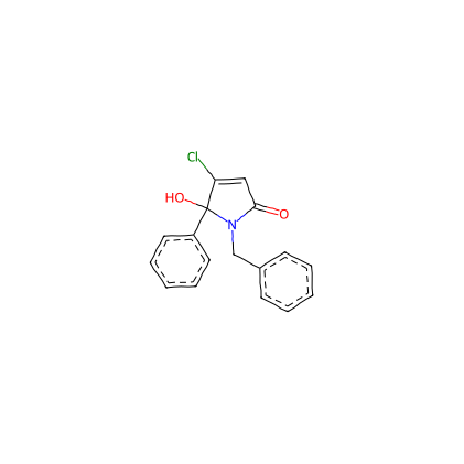 O=C1C=C(Cl)C(O)(c2ccccc2)N1Cc1ccccc1